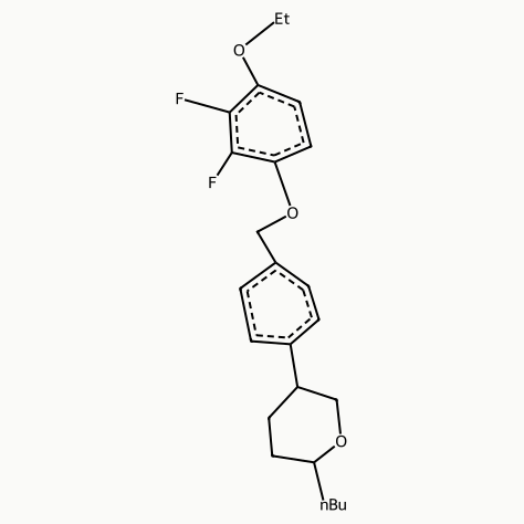 CCCCC1CCC(c2ccc(COc3ccc(OCC)c(F)c3F)cc2)CO1